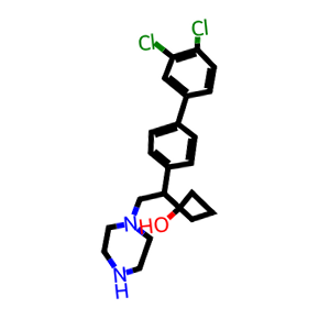 OC1(C(CN2CCNCC2)c2ccc(-c3ccc(Cl)c(Cl)c3)cc2)CCC1